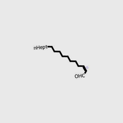 CCCCCCCCCCCCCCC/C=C\C=O